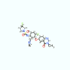 Cn1cnc2ccc(Oc3c(F)ccc([N-]S(=O)(=O)N4CC[C@@H](F)C4)c3C#N)cc2c1=O.[K+]